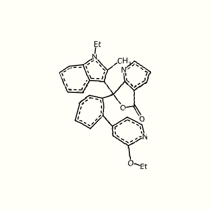 CCOc1cc(-c2ccccc2C2(c3c(C)n(CC)c4ccccc34)OC(=O)c3cccnc32)ccn1